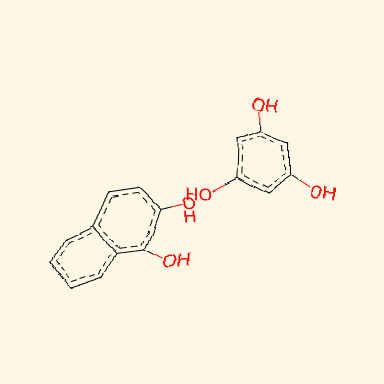 Oc1cc(O)cc(O)c1.Oc1ccc2ccccc2c1O